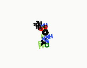 [2H]C([2H])([2H])NS(=O)(=O)c1ccc(Nc2ncc(C(F)(F)F)c(Cl)n2)c(F)c1